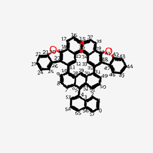 c1ccc2c(-c3c4cccc(-c5cc6ccccc6c6oc7ccccc7c56)c4cc4c(-c5cc6ccccc6c6oc7ccccc7c56)cccc34)cccc2c1